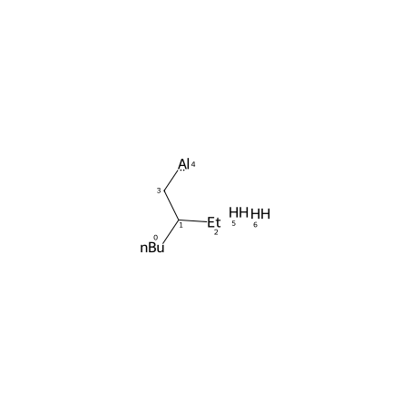 CCCCC(CC)[CH2][Al].[HH].[HH]